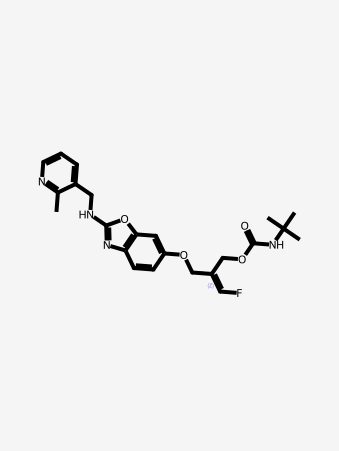 Cc1ncccc1CNc1nc2ccc(OC/C(=C/F)COC(=O)NC(C)(C)C)cc2o1